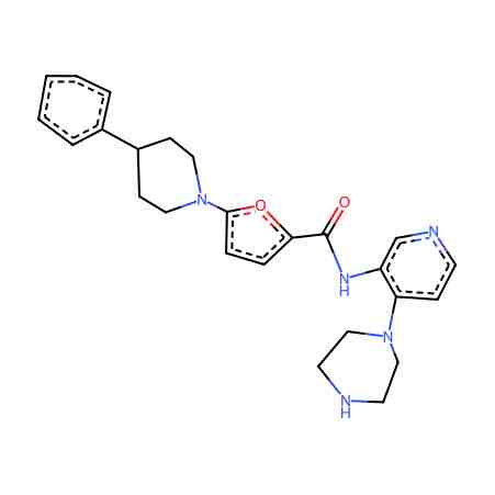 O=C(Nc1cnccc1N1CCNCC1)c1ccc(N2CCC(c3ccccc3)CC2)o1